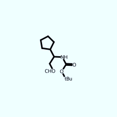 CC(C)(C)OC(=O)NC(CC=O)C1CCCC1